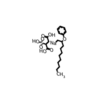 CCCCCCCCCC([CH2][Na])Oc1ccccc1.O=C(O)CC(C(=O)O)S(=O)(=O)O